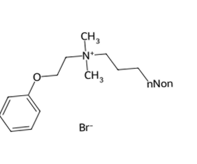 CCCCCCCCCCCC[N+](C)(C)CCOc1ccccc1.[Br-]